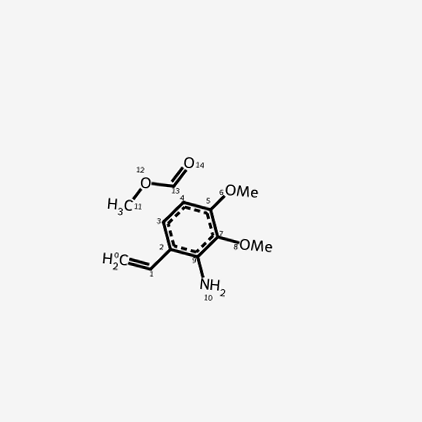 C=Cc1ccc(OC)c(OC)c1N.COC=O